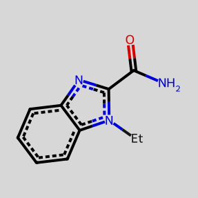 CCn1c(C(N)=O)nc2ccccc21